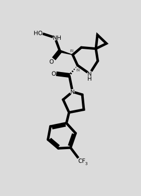 O=C(NO)[C@H]1CC2(CC2)CN[C@@H]1C(=O)N1CCC(c2cccc(C(F)(F)F)c2)C1